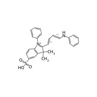 CC1(C)C(/C=C/C=C/Nc2ccccc2)=[N+](c2ccccc2)c2ccc(S(=O)(=O)O)cc21